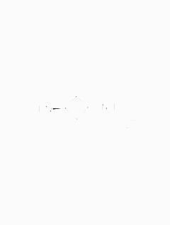 N[C@H]1C[C@H](NC(=O)O)C1